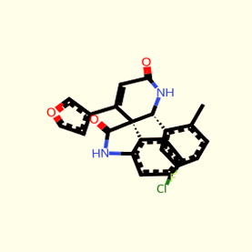 Cc1ccc(F)cc1[C@H]1NC(=O)C=C(c2ccoc2)[C@]12C(=O)Nc1cc(Cl)ccc12